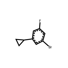 Fc1cc(Br)cc(C2CC2)c1